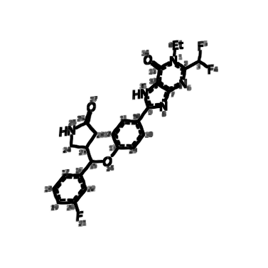 CCn1c(C(F)F)nc2nc(-c3ccc(OC(c4cccc(F)c4)C4CNC(=O)C4)cc3)[nH]c2c1=O